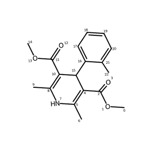 COC(=O)C1=C(C)NC(C)=C(C(=O)OC)C1c1ccccc1C